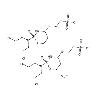 O=P1(N(CCCl)CCCl)NC(SCCS(=O)(=O)[O-])CCO1.O=P1(N(CCCl)CCCl)NC(SCCS(=O)(=O)[O-])CCO1.[Mg+2]